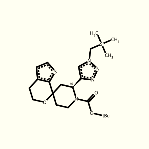 CC(C)(C)OC(=O)N1CCC2(C[C@H]1c1cn(C[Si](C)(C)C)nn1)OCCc1ccsc12